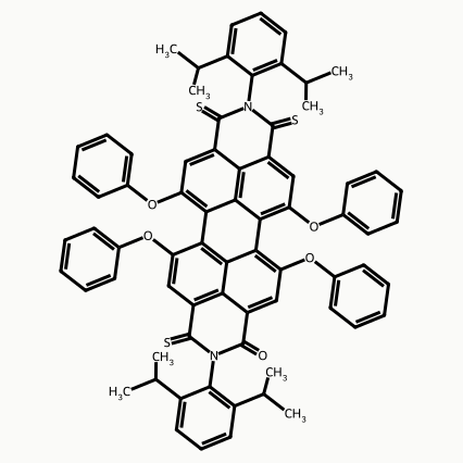 CC(C)c1cccc(C(C)C)c1N1C(=O)c2cc(Oc3ccccc3)c3c4c(Oc5ccccc5)cc5c6c(cc(Oc7ccccc7)c(c7c(Oc8ccccc8)cc(c2c37)C1=S)c64)C(=S)N(c1c(C(C)C)cccc1C(C)C)C5=S